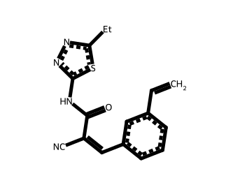 C=Cc1cccc(C=C(C#N)C(=O)Nc2nnc(CC)s2)c1